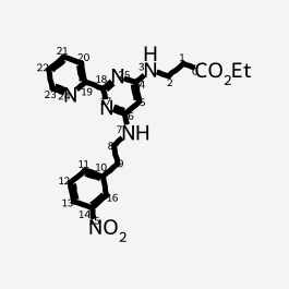 CCOC(=O)CCNc1cc(NCCc2cccc([N+](=O)[O-])c2)nc(-c2ccccn2)n1